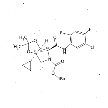 CC(C)(C)OC(=O)N1C[C@@]2(C3CC3)OC(C)(C)O[C@H]2[C@H]1C(=O)Nc1cc(Cl)c(F)cc1F